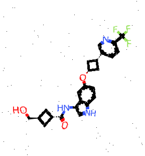 O=C(Nc1c[nH]c2ccc(O[C@H]3C[C@@H](c4ccc(C(F)(F)F)nc4)C3)cc12)[C@H]1C[C@H](CO)C1